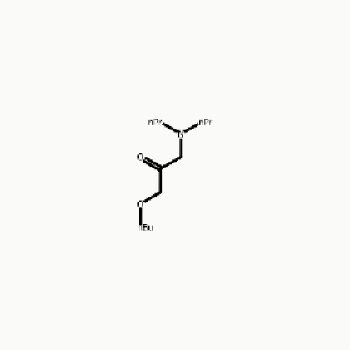 CCCCOCC(=O)CN(CCC)CCC